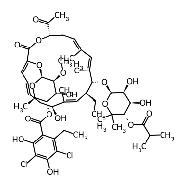 CCc1c(Cl)c(O)c(Cl)c(O)c1C(=O)O[C@H]1[C@H](O)[C@H](OC)[C@H](O/C2=C\C=C\C[C@H](O)/C(C)=C/[C@H](CC)[C@@H](O[C@@H]3OC(C)(C)[C@@H](OC(=O)C(C)C)[C@H](O)[C@@H]3O)/C(C)=C/C(C)=C/C[C@@H](C(C)=O)OC2=O)O[C@@H]1C